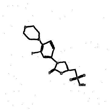 COS(=O)(=O)CC1CN(c2ccc(N3CCOCC3)c(F)c2)C(=O)O1